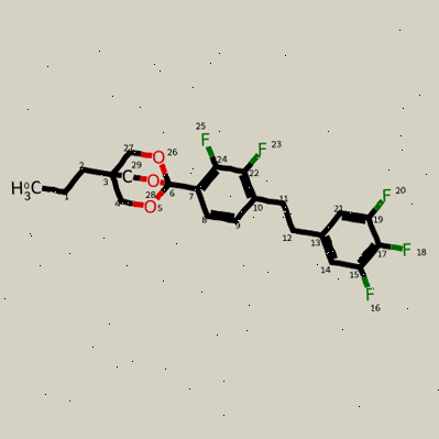 CCCC12COC(c3ccc(CCc4cc(F)c(F)c(F)c4)c(F)c3F)(OC1)OC2